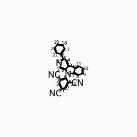 N#Cc1cc(C#N)c(-n2c3ccccc3c3cc(-c4ccccc4)ncc32)c(C#N)c1